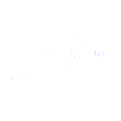 O=C(O)CC[S+]([O-])c1cccc2c1C(=O)N(C1CCC(=O)NC1=O)C2=O